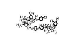 CC(C)CC(OCCN1CCN(c2ccc(C(=O)NC3C(C)(C)C(Oc4ccc(C#N)c(Cl)c4)C3(C)C)cn2)CC1)C(=O)NC(C(=O)N1C[C@H](O)C[C@H]1C(=O)NCc1ccc(Cl)cc1)C(C)(C)C